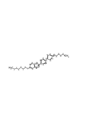 CCCCCCCCc1ccc(OC(=O)c2cnc(-c3ccc(OCCCCC)cc3)cn2)c(F)c1